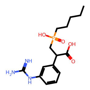 CCCCCP(=O)(O)CC(C(=O)O)c1cccc(NC(=N)N)c1